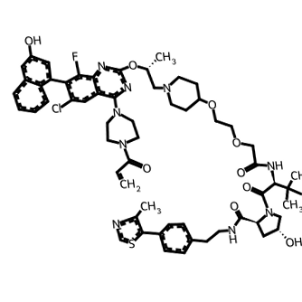 C=CC(=O)N1CCN(c2nc(O[C@H](C)CN3CCC(OCCOCC(=O)N[C@H](C(=O)N4C[C@H](O)C[C@H]4C(=O)NCCc4ccc(-c5scnc5C)cc4)C(C)(C)C)CC3)nc3c(F)c(-c4cc(O)cc5ccccc45)c(Cl)cc23)CC1